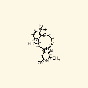 Cc1nc(Cl)cc2c3nc(nc12)OCCOc1c(C(F)F)cccc1C(C)N3